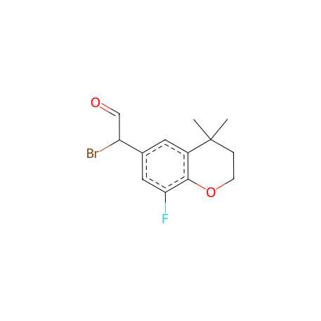 CC1(C)CCOc2c(F)cc(C(Br)C=O)cc21